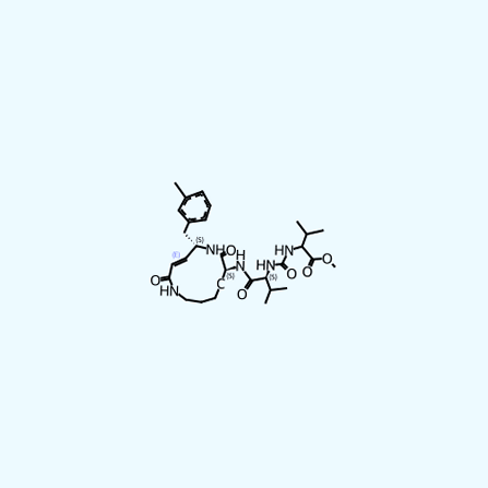 COC(=O)C(NC(=O)N[C@H](C(=O)N[C@H]1CCCCNC(=O)/C=C/[C@H](Cc2cccc(C)c2)NC1=O)C(C)C)C(C)C